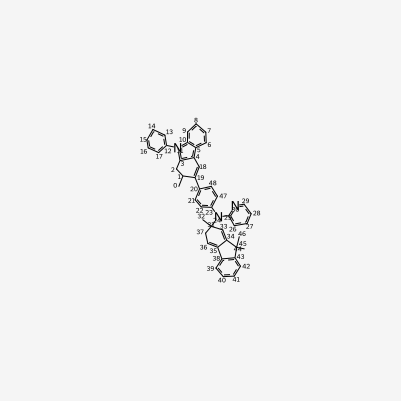 CC1Cc2c(c3ccccc3n2-c2ccccc2)C=C1c1ccc(N(c2ccccn2)C2(C)C=C3C(=CC2)c2ccccc2C3(C)C)cc1